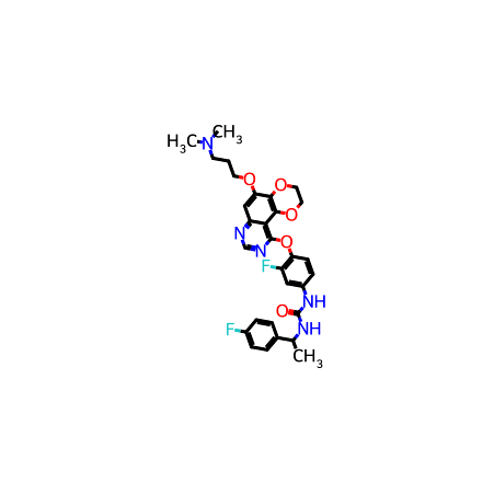 CC(NC(=O)Nc1ccc(Oc2ncnc3cc(OCCCN(C)C)c4c(c23)OCCO4)c(F)c1)c1ccc(F)cc1